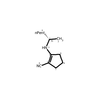 CCCCC[C@H](C)NC1=C(C#N)CCC1